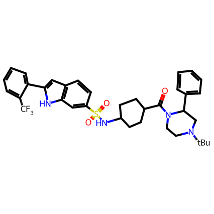 CC(C)(C)N1CCN(C(=O)C2CCC(NS(=O)(=O)c3ccc4cc(-c5ccccc5C(F)(F)F)[nH]c4c3)CC2)C(c2ccccc2)C1